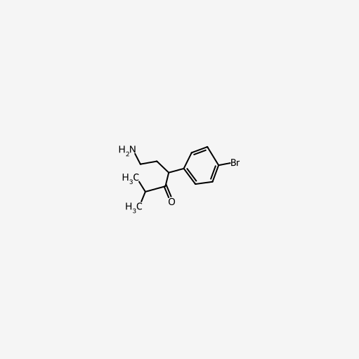 CC(C)C(=O)C(CCN)c1ccc(Br)cc1